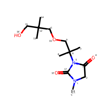 CCN1CC(=O)N(C(C)(C)COCC(C)(C)CO)C1=O